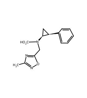 Cc1noc(CN(C(=O)O)[C@H]2C[C@H]2c2ccccc2)n1